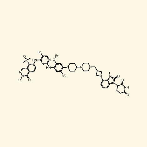 CCOc1cc(N2CCC(N3CCN(CC4CN(c5cccc6c5n(C)c(=O)n6C5CCC(=O)NC5=O)C4)CC3)CC2)c(CC)cc1Nc1ncc(Br)c(Nc2ccc3c(=O)n(CC)ncc3c2P(C)(C)=O)n1